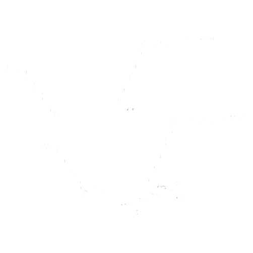 CCCCC(CC)C[O][Ti][O]CC(CC)CCCC.CCCCCCCC(CCCCCCCC/C=C\CCCCCCCC(=O)O)CCCCCCCC/C=C\CCCCCCCC(=O)O.CCCCCCCC(CCCCCCCC/C=C\CCCCCCCC(=O)O)CCCCCCCC/C=C\CCCCCCCC(=O)O